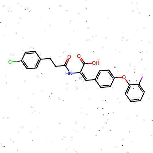 O=C(CCc1ccc(Cl)cc1)N/C(=C/c1ccc(Oc2ccccc2I)cc1)C(=O)O